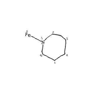 [Fe][N]1CCCCC1